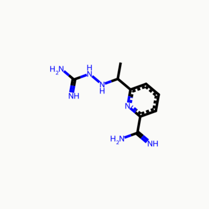 CC(NNC(=N)N)c1cccc(C(=N)N)n1